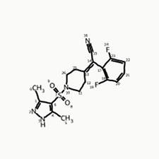 Cc1n[nH]c(C)c1S(=O)(=O)N1CCC(=C(C#N)c2c(F)cccc2F)CC1